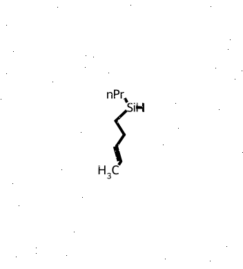 CC=CCC[SiH](I)CCC